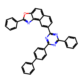 c1ccc(-c2ccc(-c3nc(-c4ccccc4)nc(-c4ccc5ccc6oc(-c7ccccc7)nc6c5c4)n3)cc2)cc1